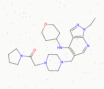 CCn1ncc2c(NC3CCOCC3)c(CN3CCN(CC(=O)N4CCCC4)CC3)cnc21